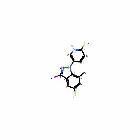 Cc1cc(F)cc2c(I)nn(-c3ccc(F)nc3)c12